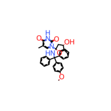 COc1ccc(C(N[C@]2(n3cc(C)c(=O)[nH]c3=O)C[C@H](O)[C@@H](C)O2)(c2ccccc2)c2ccccc2)cc1